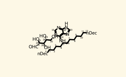 CCCCCCCCCCCCCCCCCCCCCCCCCCCCCCC.Nc1ncnc2[nH]cnc12.O=C[C@H](O)[C@H](O)[C@H](O)CO